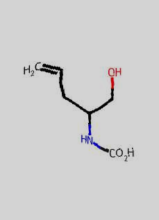 C=CCC(CO)NC(=O)O